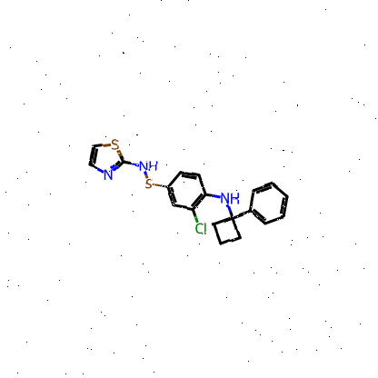 Clc1cc(SNc2nccs2)ccc1NC1(c2ccccc2)CCC1